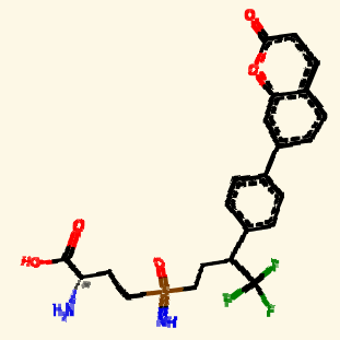 N=S(=O)(CCC(c1ccc(-c2ccc3ccc(=O)oc3c2)cc1)C(F)(F)F)CC[C@H](N)C(=O)O